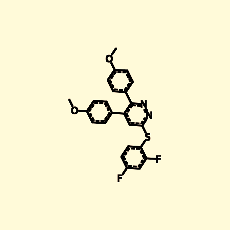 COc1ccc(-c2cc(Sc3ccc(F)cc3F)nnc2-c2ccc(OC)cc2)cc1